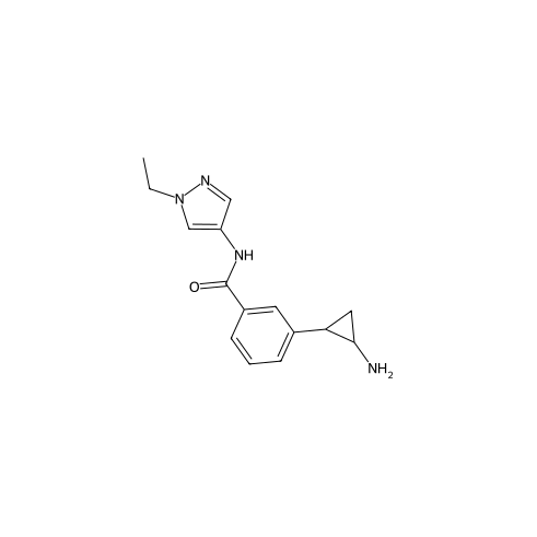 CCn1cc(NC(=O)c2cccc(C3CC3N)c2)cn1